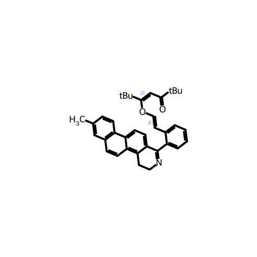 Cc1ccc2c(ccc3c4c(ccc32)C(c2ccccc2/C=C/O/C(=C\C(=O)C(C)(C)C)C(C)(C)C)=NCC4)c1